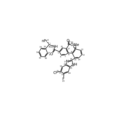 CCC[C@@H](NC(=O)c1ccc(-c2c(Cl)cccc2-c2nc3cc(Cl)c(F)cc3[nH]2)c(C(=O)OC)c1)c1ccccc1